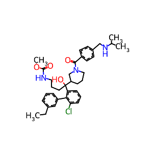 CCc1cccc(-c2c(Cl)cccc2C(O)(CCCNC(=O)OC)C2CCCN(C(=O)c3ccc(CNC(C)C)cc3)C2)c1